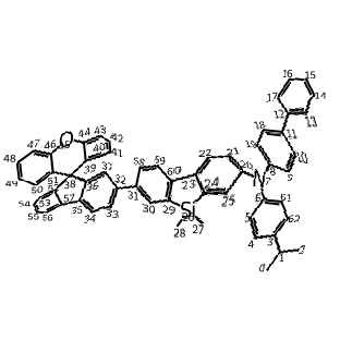 CC(C)c1ccc(N(c2ccc(-c3ccccc3)cc2)c2ccc3c(c2)[Si](C)(C)c2cc(-c4ccc5c(c4)C4(c6ccccc6Oc6ccccc64)c4ccccc4-5)ccc2-3)cc1